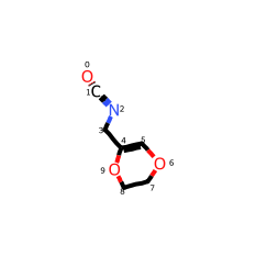 O=C=NCC1=COCCO1